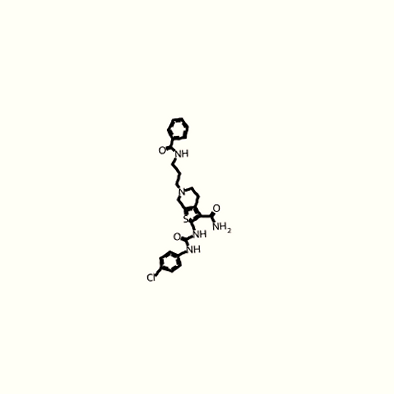 NC(=O)c1c(NC(=O)Nc2ccc(Cl)cc2)sc2c1CCN(CCCNC(=O)c1ccccc1)C2